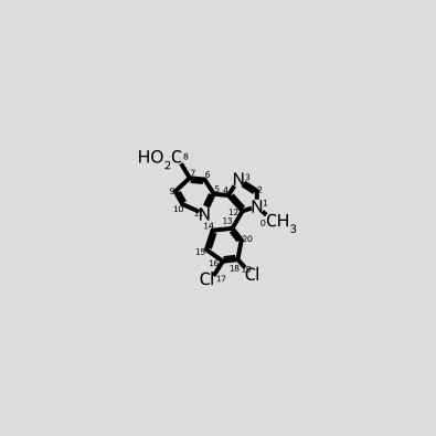 Cn1cnc(-c2cc(C(=O)O)ccn2)c1-c1ccc(Cl)c(Cl)c1